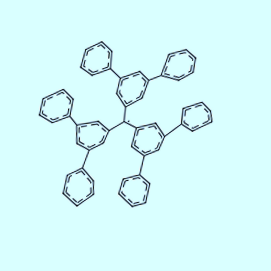 c1ccc(-c2cc([C](c3cc(-c4ccccc4)cc(-c4ccccc4)c3)c3cc(-c4ccccc4)cc(-c4ccccc4)c3)cc(-c3ccccc3)c2)cc1